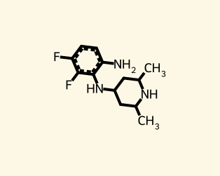 CC1CC(Nc2c(N)ccc(F)c2F)CC(C)N1